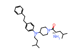 CC(C)CCN(c1ccc(CCc2ccccc2)cc1)C1CCN(C(=O)[C@@H](N)CC(C)C)CC1